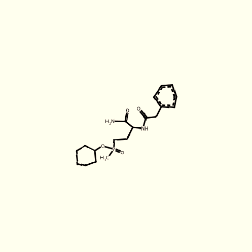 CP(=O)(CCC(NC(=O)Cc1ccccc1)C(N)=O)OC1CCCCC1